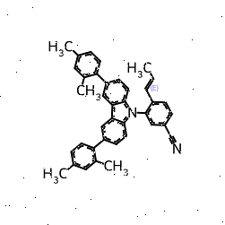 C/C=C/c1ccc(C#N)cc1-n1c2ccc(-c3ccc(C)cc3C)cc2c2cc(-c3ccc(C)cc3C)ccc21